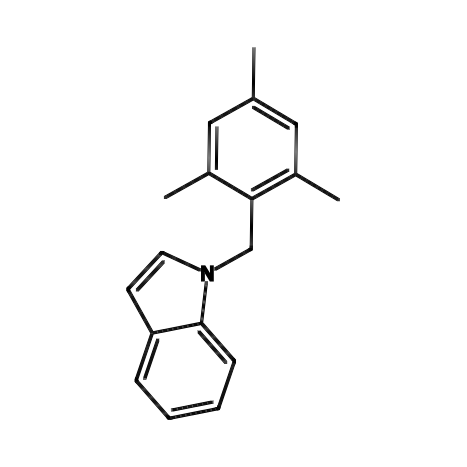 Cc1cc(C)c(Cn2ccc3ccccc32)c(C)c1